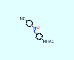 CC(=O)Nc1ccc(C=[N+]([O-])c2ccc(C#N)cc2)cc1